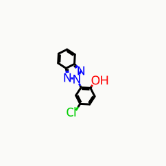 Oc1ccc(Cl)cc1-n1nc2ccccc2n1